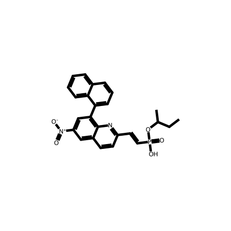 CCC(C)OP(=O)(O)C=Cc1ccc2cc([N+](=O)[O-])cc(-c3cccc4ccccc34)c2n1